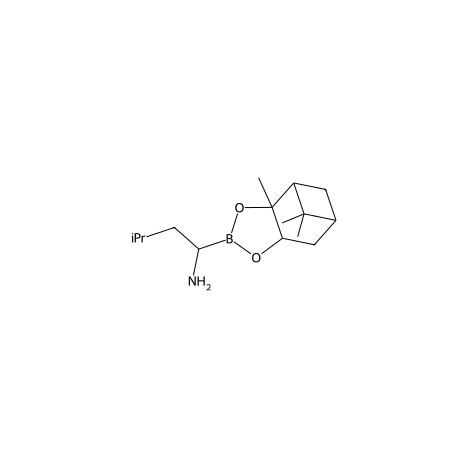 CC(C)CC(N)B1OC2CC3CC(C3(C)C)C2(C)O1